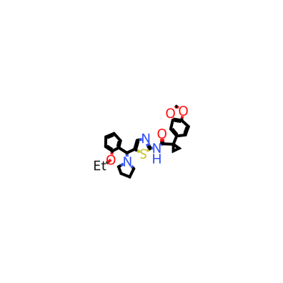 CCOc1ccccc1C(c1cnc(NC(=O)C2(c3ccc4c(c3)OCO4)CC2)s1)N1CCCC1